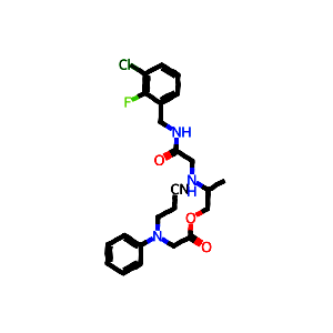 CC(COC(=O)CN(CCC#N)c1ccccc1)NCC(=O)NCc1cccc(Cl)c1F